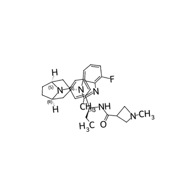 CC[C@H](NC(=O)C1CN(C)C1)c1cccc(N2[C@@H]3CC[C@H]2C[C@H](n2c(C)nc4c(F)cccc42)C3)c1